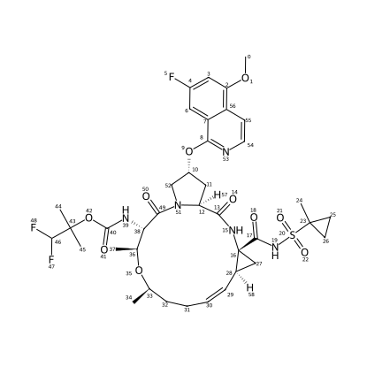 COc1cc(F)cc2c(O[C@@H]3C[C@H]4C(=O)N[C@]5(C(=O)NS(=O)(=O)C6(C)CC6)C[C@H]5/C=C\CC[C@@H](C)O[C@@H](C)[C@H](NC(=O)OC(C)(C)C(F)F)C(=O)N4C3)nccc12